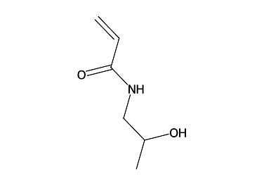 C=CC(=O)NCC(C)O